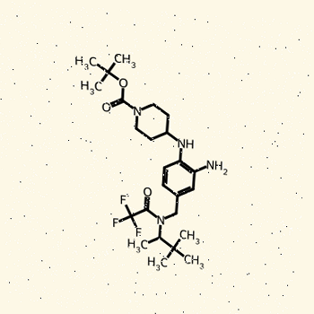 CC(N(Cc1ccc(NC2CCN(C(=O)OC(C)(C)C)CC2)c(N)c1)C(=O)C(F)(F)F)C(C)(C)C